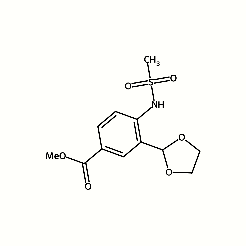 COC(=O)c1ccc(NS(C)(=O)=O)c(C2OCCO2)c1